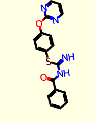 N=C(NC(=O)c1ccccc1)Sc1ccc(Oc2ncccn2)cc1